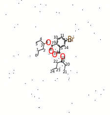 CCCC(CC)OC(=O)c1ccc(Br)cc1C(=O)OC(CC)CCC